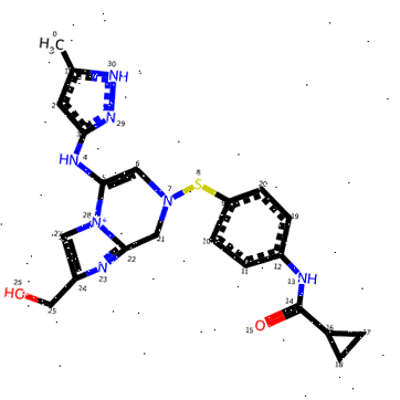 Cc1cc(NC2=CN(Sc3ccc(NC(=O)C4CC4)cc3)CC3=NC(CO)=C[N+]23)n[nH]1